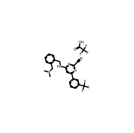 CN(C)Cc1ccccc1CNc1cc(-c2cccc(C(F)(F)F)c2)nc(C#N)n1.O=C(O)C(F)(F)F